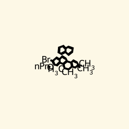 CCCOc1cc2c3c(ccc2cc1Br)C1=C(CC(C)(C)C=C1)CC3(C)C.c1ccc2ccccc2c1